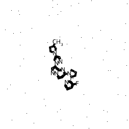 CC1CCN(c2cnn(-c3cnn4ccc(N5CCC[C@@H]5c5ncccc5F)nc34)c2)C1